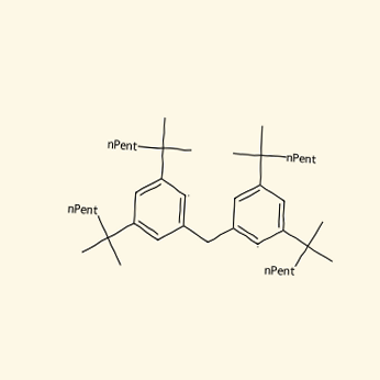 CCCCCC(C)(C)c1[c]c(Cc2[c]c(C(C)(C)CCCCC)cc(C(C)(C)CCCCC)c2)cc(C(C)(C)CCCCC)c1